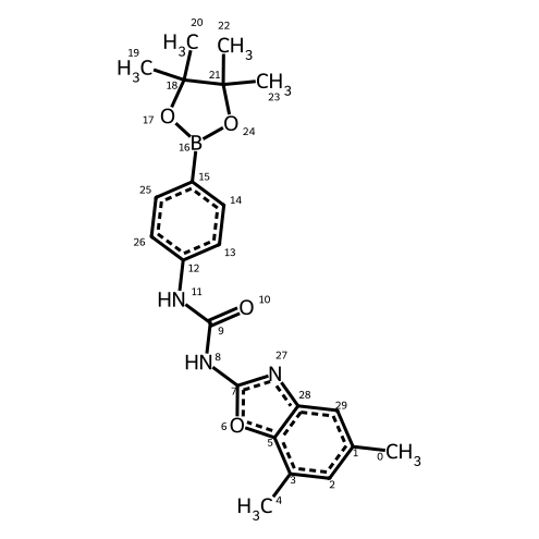 Cc1cc(C)c2oc(NC(=O)Nc3ccc(B4OC(C)(C)C(C)(C)O4)cc3)nc2c1